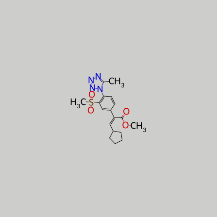 COC(=O)C(=CC1CCCC1)c1ccc(-n2nnnc2C)c(S(C)(=O)=O)c1